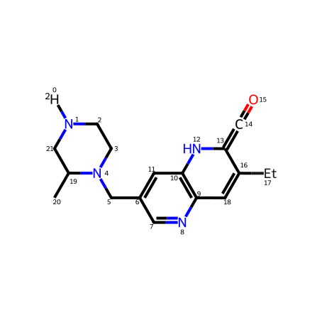 [2H]N1CCN(Cc2cnc3c(c2)NC(=C=O)C(CC)=C3)C(C)C1